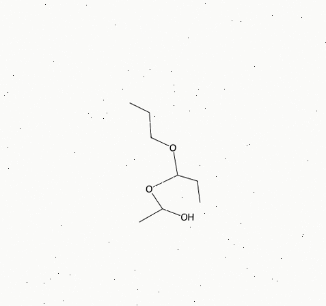 CCCOC(CC)OC(C)O